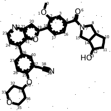 COc1cc(C(=O)N2CC3CCC(O)C3C2)ccc1-c1cc2nccc(-c3ccc(OC4CCOCC4)c(C#N)c3)c2o1